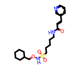 O=C(/C=C/c1cccnc1)NCCCCCS(=O)(=O)NOCC1CCCCC1